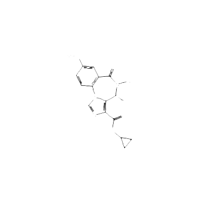 CCCN1C(=O)c2cc(OC)ccc2-n2cnc(C(=O)OC3CC3)c2[C@@H]1F